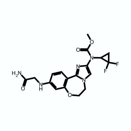 COC(=O)N(c1cn2c(n1)-c1ccc(NCC(N)=O)cc1OCC2)C1CC1(F)F